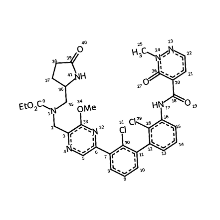 CCOC(=O)N(Cc1ncc(-c2cccc(-c3cccc(NC(=O)c4ccnn(C)c4=O)c3Cl)c2Cl)nc1OC)CC1CCC(=O)N1